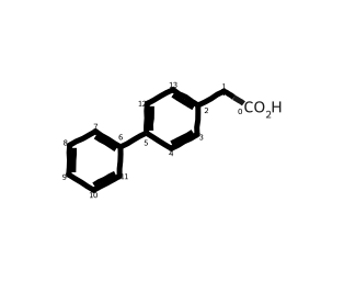 O=C(O)[CH]c1ccc(-c2ccccc2)cc1